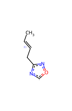 C/C=C/Cc1n[c]on1